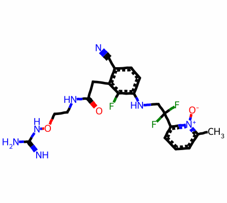 Cc1cccc(C(F)(F)CNc2ccc(C#N)c(CC(=O)NCCONC(=N)N)c2F)[n+]1[O-]